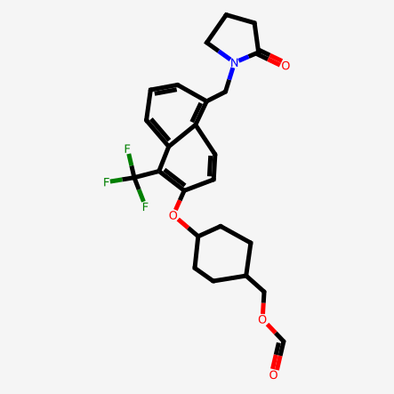 O=COCC1CCC(Oc2ccc3c(CN4CCCC4=O)cccc3c2C(F)(F)F)CC1